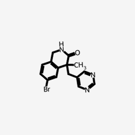 CC1(Cc2cncnc2)C(=O)NCc2ccc(Br)cc21